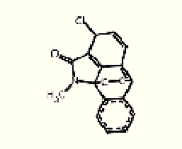 CN1C(=O)C2=C3C(=C4CCC31c1ccccc14)C=CC2Cl